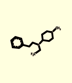 CN1CCC(N(CCc2ccccc2)CC(F)(F)F)CC1